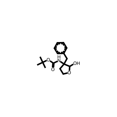 CC(C)(C)OC(=O)NC1(Cc2ccccc2)CCOC1O